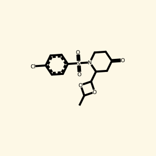 CC1OC(C2CC(=O)CCN2S(=O)(=O)c2ccc(Cl)cc2)O1